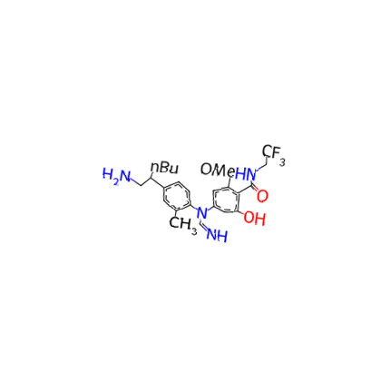 CCCCC(CN)c1ccc(N(C=N)c2cc(O)c(C(=O)NCC(F)(F)F)c(OC)c2)c(C)c1